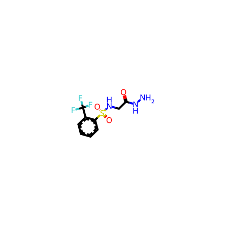 NNC(=O)CNS(=O)(=O)c1ccccc1C(F)(F)F